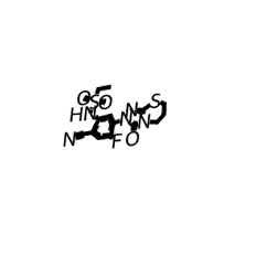 CCS(=O)(=O)Nc1cc(-n2nc3n(c2=O)CCCS3)c(F)cc1C#N